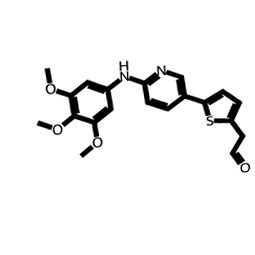 COc1cc(Nc2ccc(-c3ccc(CC=O)s3)cn2)cc(OC)c1OC